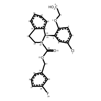 O=C(O)COc1ccc(Cl)cc1[C@@H]1c2ccccc2CCN1C(=O)OCc1cccc(F)c1